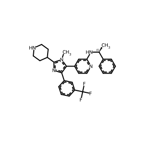 C[C@H](Nc1cc(-c2c(-c3cccc(C(F)(F)F)c3)nc(C3CCNCC3)n2C)ccn1)c1ccccc1